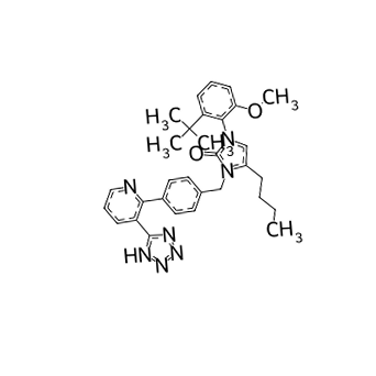 CCCCc1cn(-c2c(OC)cccc2C(C)(C)C)c(=O)n1Cc1ccc(-c2ncccc2-c2nnn[nH]2)cc1